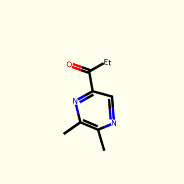 CCC(=O)c1cnc(C)c(C)n1